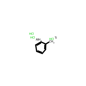 Cc1ccccc1.Cl.Cl.Cl.[AlH3].[Ti]